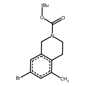 Cc1cc(Br)cc2c1CCN(C(=O)OC(C)(C)C)C2